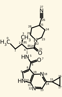 CC[C@@H](C)[C@@H](NC(=O)c1c[nH]c2ncc(C3CC3)nc12)C(=O)N1CCC(C#N)CC1